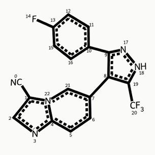 N#Cc1cnc2ccc(-c3c(-c4ccc(F)cc4)n[nH]c3C(F)(F)F)cn12